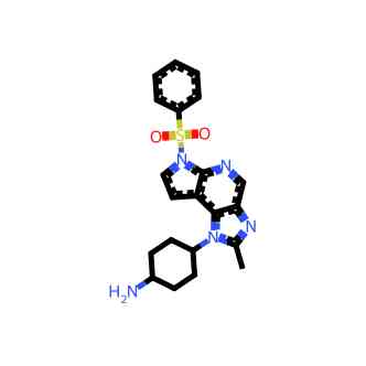 Cc1nc2cnc3c(ccn3S(=O)(=O)c3ccccc3)c2n1C1CCC(N)CC1